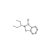 CCC(CC)N1Sc2ccccc2[S+]1[O-]